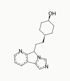 O[C@H]1CC[C@@H](CCC2c3ncccc3-c3cncn32)CC1